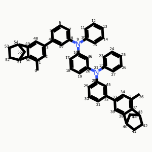 Cc1cc(-c2cccc(N(c3ccccc3)c3cccc(N(c4ccccc4)c4cccc(-c5cc(C)c6c(c5)C5CCC6C5)c4)c3)c2)cc2c1C1CCC2C1